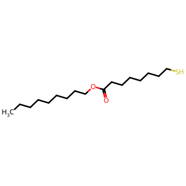 CCCCCCCCCOC(=O)CCCCCCCS